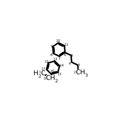 C=C.CCCCc1ccccc1.c1ccccc1